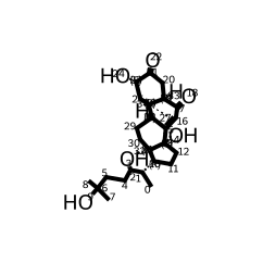 CC(C(O)CCC(C)(C)O)[C@H]1CC[C@@]2(O)C3=CC(=O)[C@@H]4CC(=O)[C@@H](O)C[C@]4(C)[C@H]3CC[C@]12C